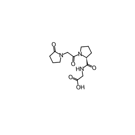 O=C(O)CNC(=O)[C@@H]1CCCN1C(=O)CN1CCCC1=O